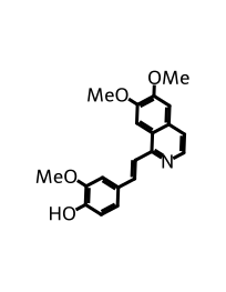 COc1cc(C=Cc2nccc3cc(OC)c(OC)cc23)ccc1O